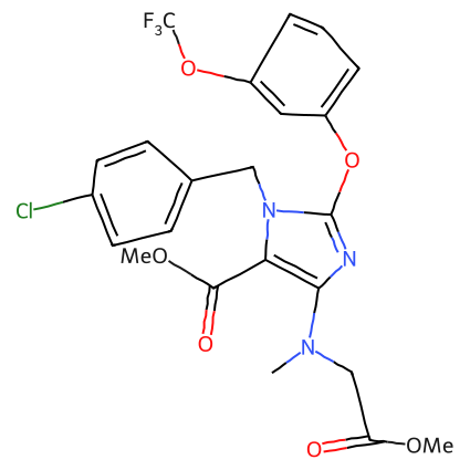 COC(=O)CN(C)c1nc(Oc2cccc(OC(F)(F)F)c2)n(Cc2ccc(Cl)cc2)c1C(=O)OC